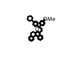 COc1ccc(C2(c3ccc(C4CCCCC4)cc3)C=Cc3c(c4c(c5ccccc35)-c3ccccc3CC4)O2)cc1